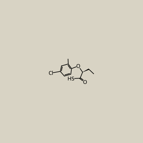 CC[C@H](Oc1ccc(Cl)cc1C)C(=O)S